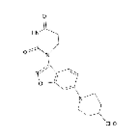 O=CC1CCN(c2ccc3c(N4CCC(=O)NC4=O)noc3c2)CC1